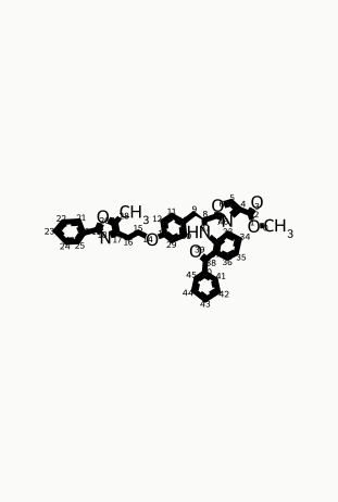 COC(=O)c1coc([C@H](Cc2ccc(OCCc3nc(-c4ccccc4)oc3C)cc2)Nc2ccccc2C(=O)c2ccccc2)n1